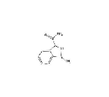 CN1N[C](C(N)=O)c2ccccc21